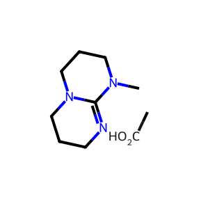 CC(=O)O.CN1CCCN2CCCN=C12